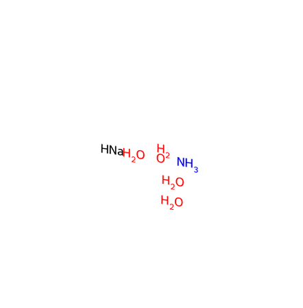 N.O.O.O.O.[NaH]